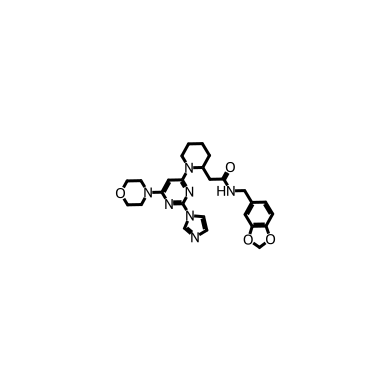 O=C(CC1CCCCN1c1cc(N2CCOCC2)nc(-n2ccnc2)n1)NCc1ccc2c(c1)OCO2